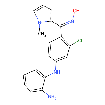 Cn1cccc1C(=NO)c1ccc(Nc2ccccc2N)cc1Cl